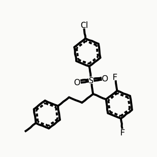 Cc1ccc(CCC(c2cc(F)ccc2F)S(=O)(=O)c2ccc(Cl)cc2)cc1